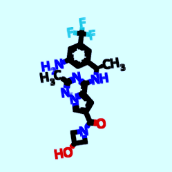 Cc1nc(N[C@H](C)c2cc(N)cc(C(F)(F)F)c2)c2cc(C(=O)N3CC(O)C3)cn2n1